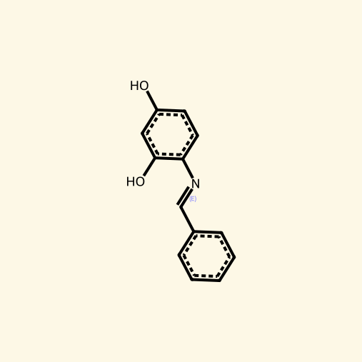 Oc1ccc(/N=C/c2ccccc2)c(O)c1